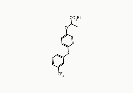 CCOC(=O)C(C)Oc1ccc(Sc2cccc(C(F)(F)F)c2)cc1